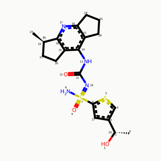 C[C@H](O)c1csc(S(N)(=O)=NC(=O)Nc2c3c(nc4c2CC[C@H]4C)CCC3)c1